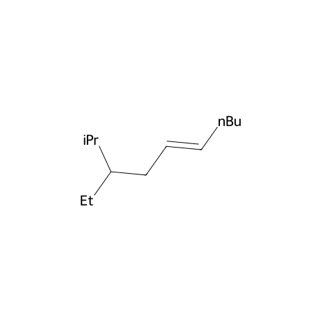 CCCCC=CCC(CC)C(C)C